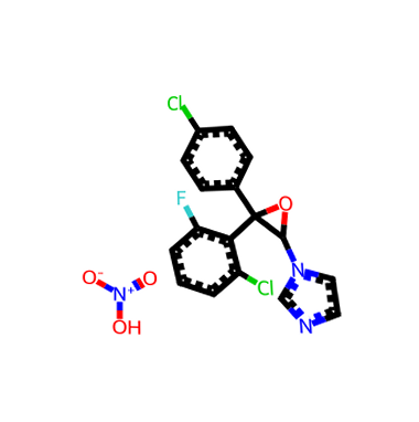 Fc1cccc(Cl)c1C1(c2ccc(Cl)cc2)OC1n1ccnc1.O=[N+]([O-])O